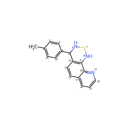 Cc1ccc(C2NSNc3c2ccc2cccnc32)cc1